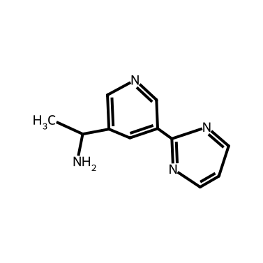 CC(N)c1cncc(-c2ncccn2)c1